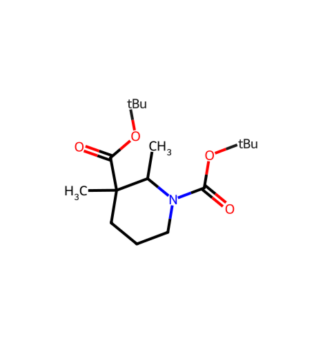 CC1N(C(=O)OC(C)(C)C)CCCC1(C)C(=O)OC(C)(C)C